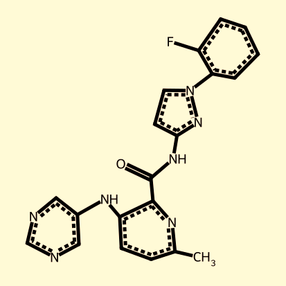 Cc1ccc(Nc2cncnc2)c(C(=O)Nc2ccn(-c3ccccc3F)n2)n1